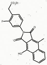 CCOC(=O)Cc1ccc(N2C(=O)c3c(c(O)c4ccccc4c3C)C2=O)cc1F